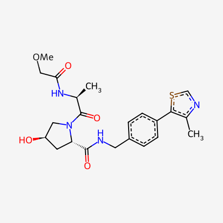 COCC(=O)N[C@@H](C)C(=O)N1C[C@H](O)C[C@H]1C(=O)NCc1ccc(-c2scnc2C)cc1